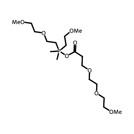 COCCOCCOCCC(=O)OP(C)(C)(CCOC)CCOCCOC